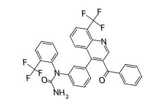 NC(=O)N(c1cccc(-c2c(C(=O)c3ccccc3)cnc3c(C(F)(F)F)cccc23)c1)c1ccccc1C(F)(F)F